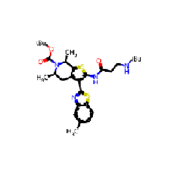 CC[C@H](C)NCCC(=O)Nc1sc2c(c1-c1nc3cc(C)ccc3s1)CC(C)N(C(=O)OC(C)(C)C)C2C